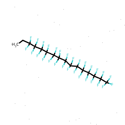 [CH2]CC(F)(F)C(F)(F)C(F)(F)C(F)(F)C(F)(F)C(F)(F)C(F)(F)C(F)(F)C(F)(F)C(F)(F)C(F)(F)C(F)(F)C(F)(F)C(F)(F)F